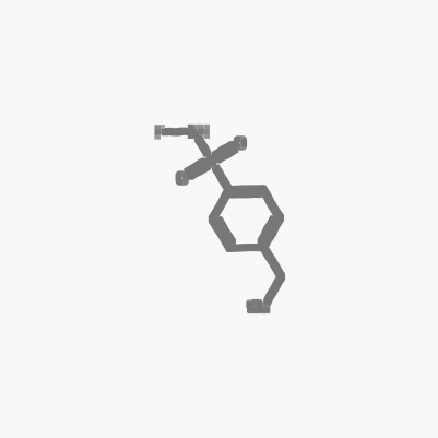 CC(C)(C)Cc1ccc(S(=O)(=O)NF)cc1